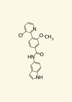 COc1cc(C(=O)Nc2ccc3[nH]ccc3c2)ccc1-c1ncccc1Cl